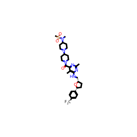 Cc1nc(NC[C@@H]2CC[C@H](c3ccc(C(F)(F)F)cc3)O2)c(C)c(C(=O)N2CCC(N3CCC(N(C)S(C)(=O)=O)CC3)CC2)n1